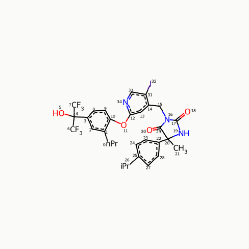 CCCc1cc(C(O)(C(F)(F)F)C(F)(F)F)ccc1Oc1cc(CN2C(=O)NC(C)(c3ccc(C(C)C)cc3)C2=O)c(I)cn1